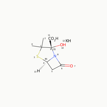 CC1(C)S[C@@H]2CC(=O)N2[C@]1(O)C(=O)O.[KH]